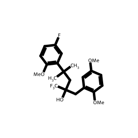 COc1ccc(OC)c(CC(O)(CC(C)(C)c2cc(F)ccc2OC)C(F)(F)F)c1